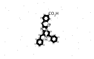 O=C(O)c1ccc(Cc2nc3c(Cc4ccccc4)[nH]c(-c4ccccc4)cn-3c2=O)cc1